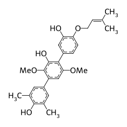 COc1cc(-c2cc(C)c(O)c(C)c2)c(OC)c(O)c1-c1ccc(OCC=C(C)C)c(O)c1